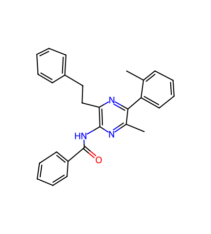 Cc1ccccc1-c1nc(CCc2ccccc2)c(NC(=O)c2ccccc2)nc1C